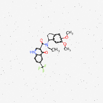 CCN(C(=O)c1c[nH]c2ccc(C(F)(F)F)cc2c1=O)C1CCc2cc(OC)c(OC)cc21